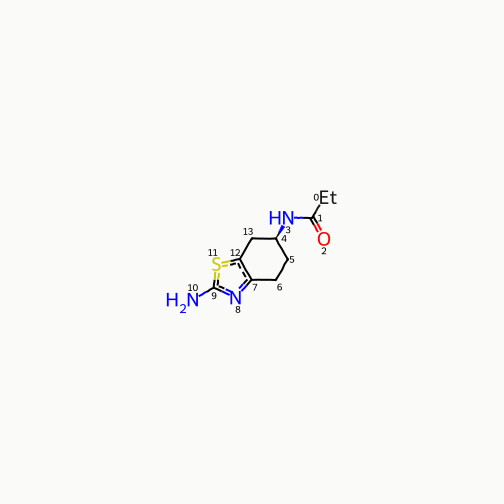 CCC(=O)N[C@H]1CCc2nc(N)sc2C1